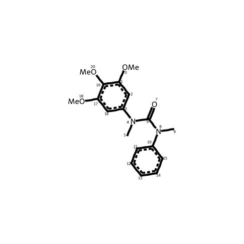 COc1cc(N(C)C(=O)N(C)c2[c]cccc2)cc(OC)c1OC